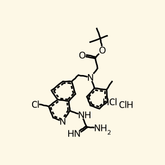 Cc1ccccc1N(CC(=O)OC(C)(C)C)Cc1ccc2c(Cl)cnc(NC(=N)N)c2c1.Cl.Cl